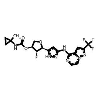 CC1(NC(=O)O[C@H]2CO[C@@H](c3cc(Nc4nccn5nc(C(F)(F)F)cc45)n[nH]3)[C@H]2F)CC1